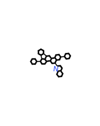 c1ccc(-c2ccc3c(c2)c(-c2ccc4ccccc4n2)cc2c4ccc(-c5ccccc5)c5c4c(cc32)-c2ccccc2-5)cc1